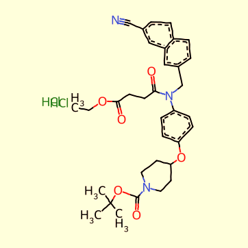 CCOC(=O)CCC(=O)N(Cc1ccc2ccc(C#N)cc2c1)c1ccc(OC2CCN(C(=O)OC(C)(C)C)CC2)cc1.Cl.Cl